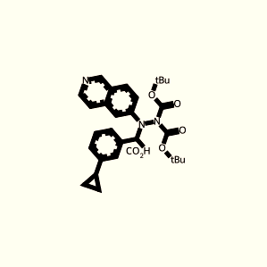 CC(C)(C)OC(=O)N(C(=O)OC(C)(C)C)N(c1ccc2cnccc2c1)C(C(=O)O)c1cccc(C2CC2)c1